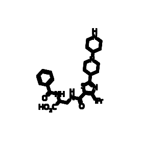 CC(C)c1nc(C2CCN(C3CCNCC3)CC2)sc1C(=O)NCC(NC(=O)c1ccccc1)C(=O)O